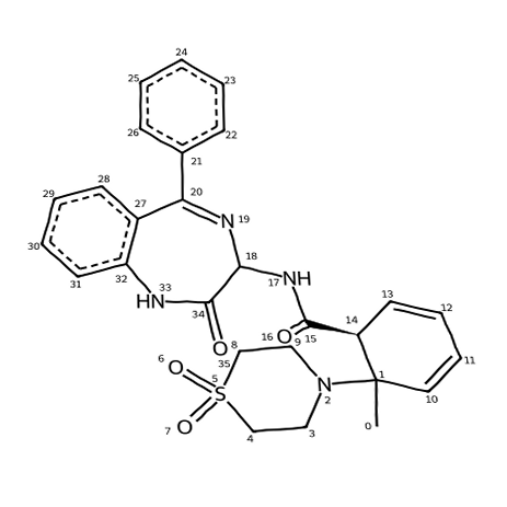 CC1(N2CCS(=O)(=O)CC2)C=CC=C[C@@H]1C(=O)NC1N=C(c2ccccc2)c2ccccc2NC1=O